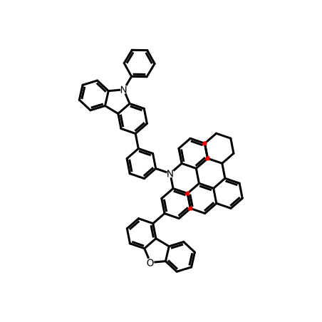 c1ccc(-n2c3ccccc3c3cc(-c4cccc(N(c5cccc(-c6cccc7oc8ccccc8c67)c5)c5ccccc5-c5cccc6cccc(C7CCCCC7)c56)c4)ccc32)cc1